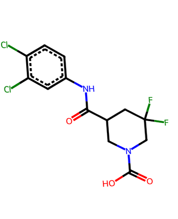 O=C(Nc1ccc(Cl)c(Cl)c1)C1CN(C(=O)O)CC(F)(F)C1